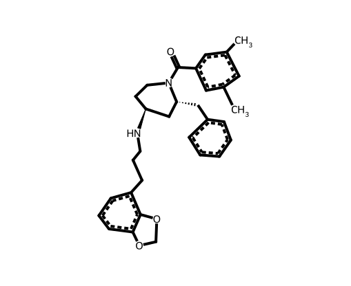 Cc1cc(C)cc(C(=O)N2CC[C@H](NCCCc3cccc4c3OCO4)C[C@H]2Cc2ccccc2)c1